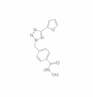 O=C(NO)c1ccc(Cn2nnc(-c3ccco3)n2)cc1